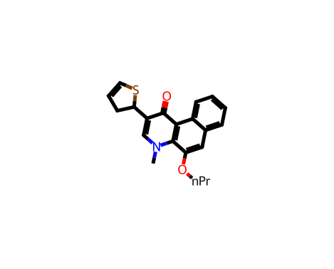 CCCOc1cc2ccccc2c2c(=O)c(C3CC=CS3)cn(C)c12